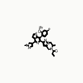 C=CC(=O)N1Cc2cc(-c3nc(-c4cnn(C)c4)c4ccsc4c3-c3ccc(F)cc3OC(C)C)nn2CC1C